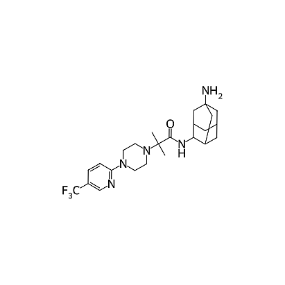 CC(C)(C(=O)NC1C2CC3CC1CC(N)(C3)C2)N1CCN(c2ccc(C(F)(F)F)cn2)CC1